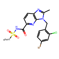 CCCCCS(=O)(=O)NC(=O)c1ccc2nc(C)n(Cc3ccc(Br)cc3Cl)c2n1